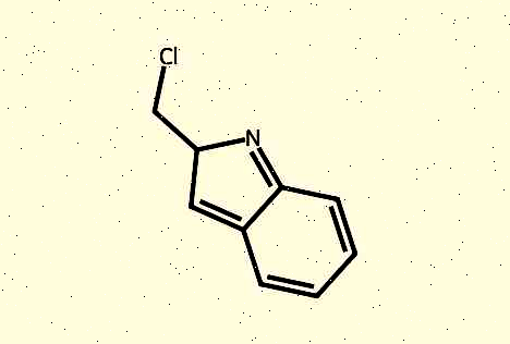 ClCC1C=c2ccccc2=N1